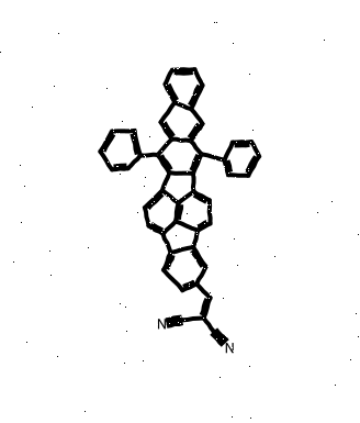 N#CC(C#N)=Cc1ccc2c(c1)-c1ccc3c4c(ccc-2c14)-c1c-3c(-c2ccccc2)c2cc3ccccc3cc2c1-c1ccccc1